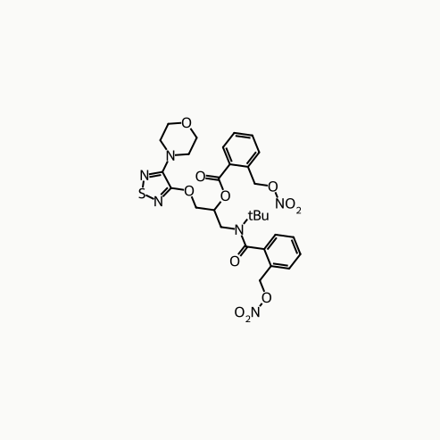 CC(C)(C)N(CC(COc1nsnc1N1CCOCC1)OC(=O)c1ccccc1CO[N+](=O)[O-])C(=O)c1ccccc1CO[N+](=O)[O-]